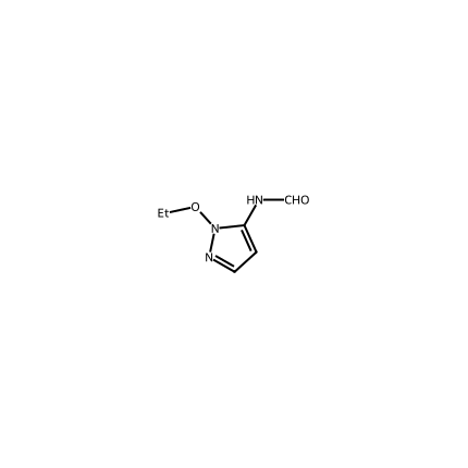 CCOn1nccc1NC=O